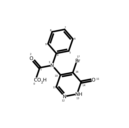 O=C(O)C(=O)N(c1ccccc1)c1cn[nH]c(=O)c1Br